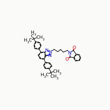 CC(C)(C)c1ccc(-c2ccc(-c3ccc(C(C)(C)C)cc3)c3nn(CCCCCN4C(=O)c5ccccc5C4=O)nc23)cc1